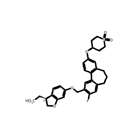 O=C(O)C[C@@H]1COc2cc(OCc3cc4c(cc3F)CCCc3cc(OC5CCS(=O)(=O)CC5)ccc3-4)ccc21